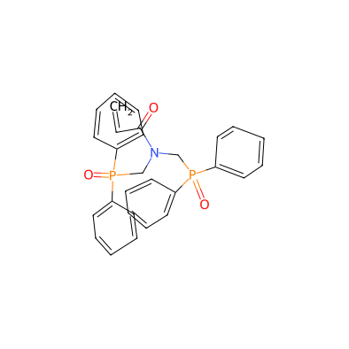 C=CC(=O)N(CP(=O)(c1ccccc1)c1ccccc1)CP(=O)(c1ccccc1)c1ccccc1